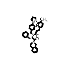 Cc1ccc(C=CC(=O)N(Cc2ccc(-n3cccn3)cc2)[C@@H](Cc2ccccc2)C(=O)N2CCc3ccccc3C2)nc1